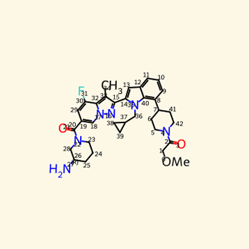 COCC(=O)N1CCC(c2cccc3cc(-c4nn5cc(C(=O)N6CCC[C@@H](N)C6)cc(F)c5c4C)n(CC4CC4)c23)CC1